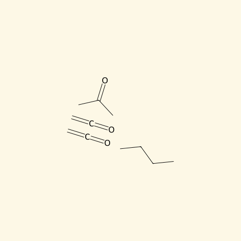 C=C=O.C=C=O.CC(C)=O.CCCC